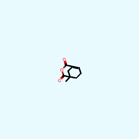 CC12CCC=C(C1)C(=O)OC2=O